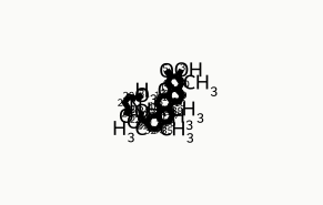 CC1=C(O)C(=O)C=C2C1=CC=C1[C@@]2(C)CC[C@@]2(C)[C@@H]3C[C@](C)(C(=O)ON4C(=O)CCC4=O)CC[C@]3(C)CC[C@]12C